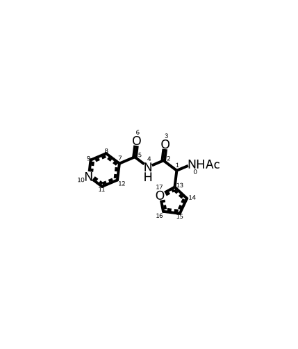 CC(=O)NC(C(=O)NC(=O)c1ccncc1)c1ccco1